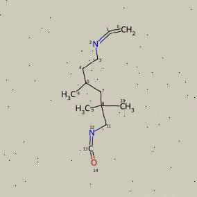 C=C=NCCC(C)CC(C)(C)CN=C=O